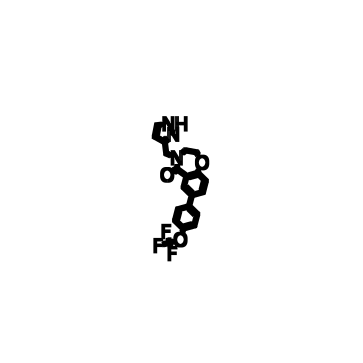 O=C1c2cc(-c3ccc(OC(F)(F)F)cc3)ccc2OCCN1Cc1cc[nH]n1